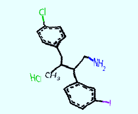 CC(c1ccc(Cl)cc1)C(CN)c1cccc(I)c1.Cl